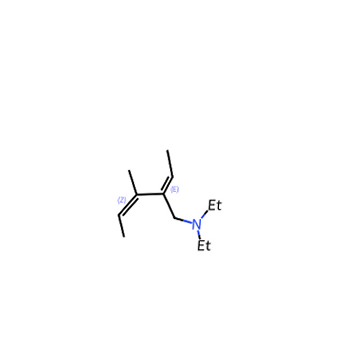 C/C=C(C)\C(=C/C)CN(CC)CC